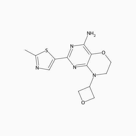 Cc1ncc(-c2nc(N)c3c(n2)N(C2COC2)CCO3)s1